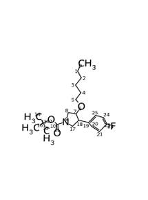 CCCCCCOC1CN(C(=O)OC(C)(C)C)CC1c1ccc(F)cc1